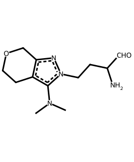 CN(C)c1c2c(nn1CCC(N)C=O)COCC2